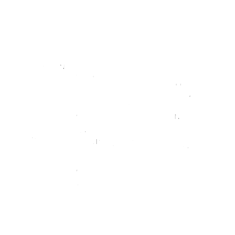 O=C1C=CC(=O)N1c1ccc(C(c2ccc(N3C(=O)C=CC3=O)cc2)P2(=O)Oc3ccccc3-c3ccccc32)cc1